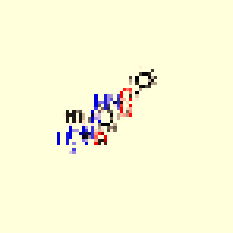 CC(C)(C)N1C[C@@H](NC(=O)OCc2ccccc2)CC[C@@H]1C(=O)NN